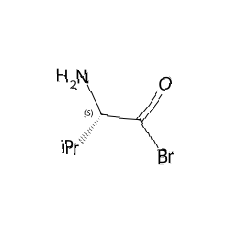 CC(C)[C@H](N)C(=O)Br